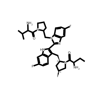 CCC(N)C(=O)N1C[C@@H](F)C[C@H]1Cc1c(-c2nc3cc(F)ccc3n2CC2CCCN2C(=O)C(N)C(C)C)[nH]c2cc(F)ccc12